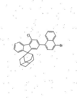 Clc1cc(-c2ccc(Br)c3ccccc23)cc2c1-c1ccccc1C21C2CC3CC(C2)CC1C3